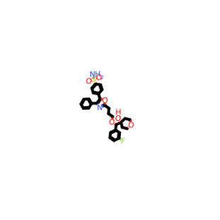 NS(=O)(=O)c1ccc(-c2oc(CCCOC(c3cccc(F)c3)C3(O)CCOCC3)nc2-c2ccccc2)cc1